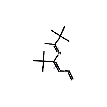 C=C/C=C(\N=C(/C)C(C)(C)C)C(C)(C)C